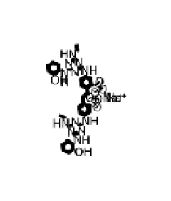 CCNc1nc(Nc2ccc(C=Cc3ccc(Nc4nc(NCC)nc(Nc5ccccc5O)n4)cc3S(=O)(=O)[O-])c(S(=O)(=O)[O-])c2)nc(Nc2ccccc2O)n1.[Na+].[Na+]